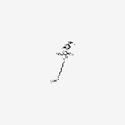 CCCCCCCCCCCCCCCCCCCC(=O)O[C@H]1[C@H](O)[C@H](n2ccc(N)nc2=O)O[C@@H]1CO